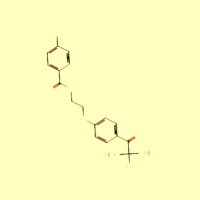 CC(C)(O)C(=O)c1ccc(OCCOC(=O)c2ccc(C=O)cc2)cc1